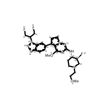 COCCN1CC[C@H](Nc2nc(OC)c3c(-c4ccc5nnn(C(CF)CF)c5c4)ccn3n2)[C@@H](F)C1